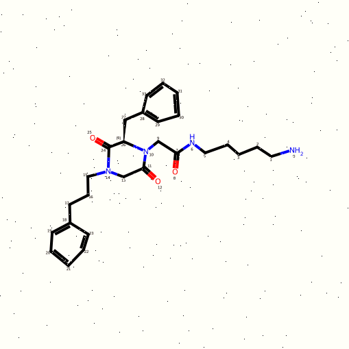 NCCCCCNC(=O)CN1C(=O)CN(CCCc2ccccc2)C(=O)[C@H]1Cc1ccccc1